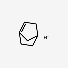 C1=C2CCC(C1)C2.[H+]